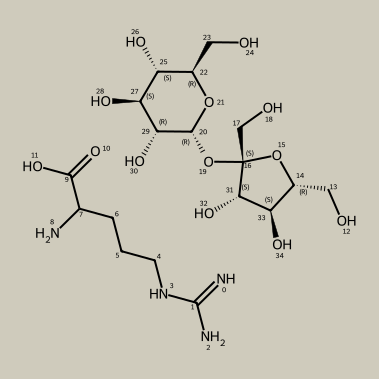 N=C(N)NCCCC(N)C(=O)O.OC[C@H]1O[C@@](CO)(O[C@H]2O[C@H](CO)[C@@H](O)[C@H](O)[C@H]2O)[C@@H](O)[C@@H]1O